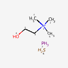 C[N+](C)(C)CCO.P.S